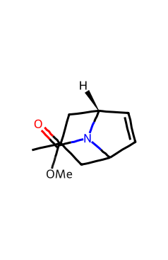 COC(=O)N1C2C=C[C@H]1CC(C)C2